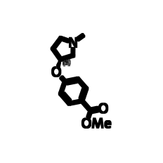 COC(=O)c1ccc(O[C@H]2CCN(C)C2)cc1